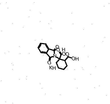 O=C(O)C1CCCCC1(C(=O)O)N1C(=O)c2ccccc2C1=O.[KH]